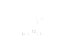 C=C[CH]N(C)C